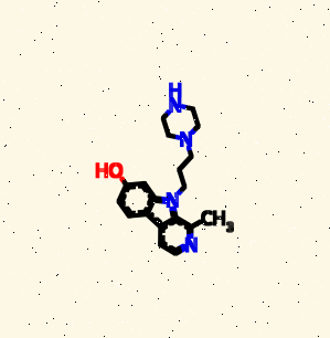 Cc1nccc2c3ccc(O)cc3n(CCCN3CCNCC3)c12